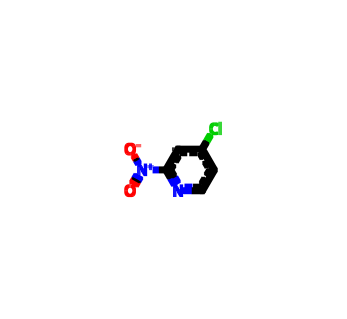 O=[N+]([O-])c1[c]c(Cl)ccn1